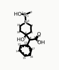 CB(O)N1CCC(O)(C(C(=O)O)c2ccccc2)CC1